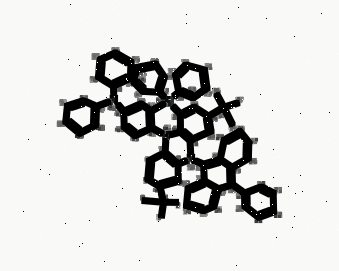 CC(C)(C)c1ccc2c(c1)N(c1c3ccccc3c(-c3ccccc3)c3ccccc13)c1cc(C(C)(C)C)cc3c1B2c1ccc(N(c2ccccc2)c2ccccc2)cc1[Si]3(c1ccccc1)c1ccccc1